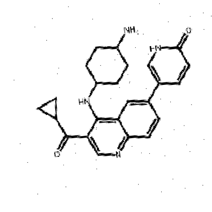 NC1CCC(Nc2c(C(=O)C3CC3)cnc3ccc(-c4ccc(=O)[nH]c4)cc23)CC1